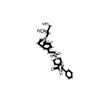 O=C1NC(C2CCCCC2)=NC12CCN(S(=O)(=O)/C=C/c1ccc3c(ccn3C[C@H](O)CO)c1)CC2